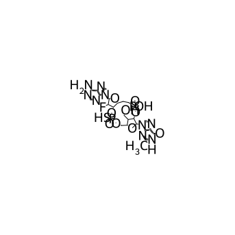 Cc1nc2c(ncn2C2OC3CO[P@@](=O)(S)OC4C(CCP(=O)(O)OC2C3CO)OC(n2cnc3c(N)ncnc32)C4F)c(=O)[nH]1